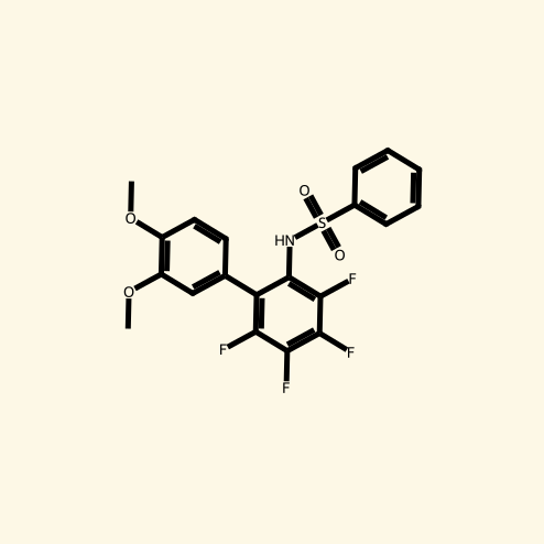 COc1ccc(-c2c(F)c(F)c(F)c(F)c2NS(=O)(=O)c2ccccc2)cc1OC